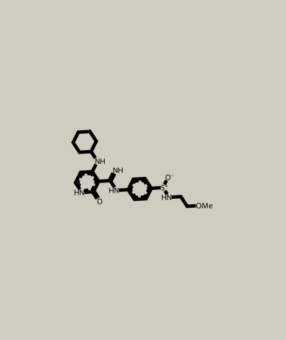 COCCN[S+]([O-])c1ccc(NC(=N)c2c(NC3CCCCC3)cc[nH]c2=O)cc1